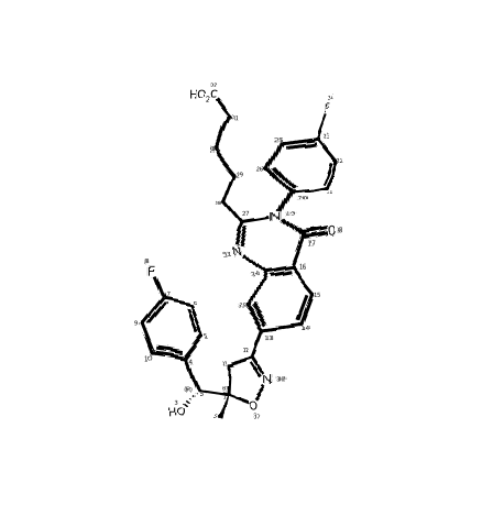 C[C@@]1([C@H](O)c2ccc(F)cc2)CC(c2ccc3c(=O)n(-c4ccc(F)cc4)c(CCCCC(=O)O)nc3c2)=NO1